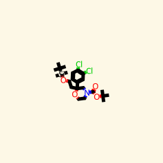 CC(C)(C)OC(=O)N1CCOC(CCO[Si](C)(C)C(C)(C)C)(c2ccc(Cl)c(Cl)c2)C1